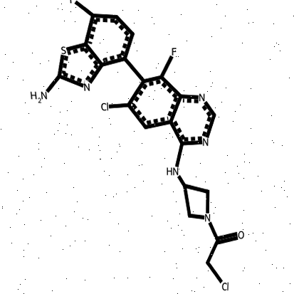 Nc1nc2c(-c3c(Cl)cc4c(NC5CN(C(=O)CCl)C5)ncnc4c3F)ccc(F)c2s1